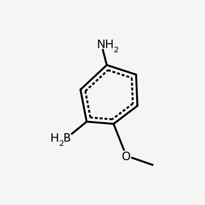 Bc1cc(N)ccc1OC